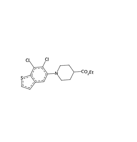 CCOC(=O)C1CCN(c2cc3ccsc3c(Cl)c2Cl)CC1